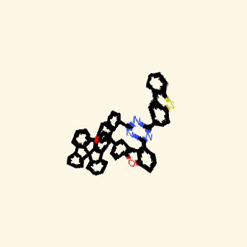 c1ccc(-c2nc(-c3ccc4sc5ccccc5c4c3)nc(-c3cccc4oc5ccc(-c6cccc(-c7cccc8c7C7(c9ccccc9-c9ccccc97)c7ccccc7-8)c6)cc5c34)n2)cc1